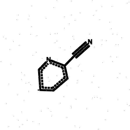 N#Cc1cc[c]cn1